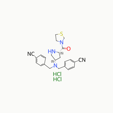 Cl.Cl.N#Cc1ccc(CN(Cc2ccc(C#N)cc2)[C@@H]2CN[C@H](C(=O)N3CCSC3)C2)cc1